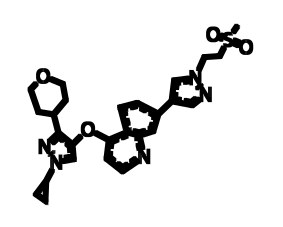 CS(=O)(=O)CCn1cc(-c2ccc3c(Oc4cn(C5CC5)nc4C4CCOCC4)ccnc3c2)cn1